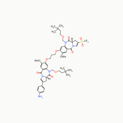 COc1cc2c(cc1OCCCOc1cc3c(cc1OC)C(=O)N1C=C(S(=O)(=O)C(F)(F)F)C[C@H]1C(=O)N3COCC[Si](C)(C)C)N(COCC[Si](C)(C)C)C(=O)[C@@H]1CC(c3ccc(N)cc3)=CN1C2=O